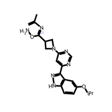 C=C(C)/N=C(\ON)C1CN(c2cc(-c3n[nH]c4ccc(OC(C)C)cc34)ncn2)C1